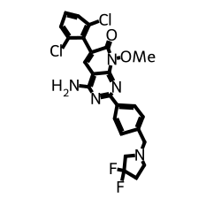 COn1c(=O)c(-c2c(Cl)cccc2Cl)cc2c(N)nc(-c3ccc(CN4CCC(F)(F)C4)cc3)nc21